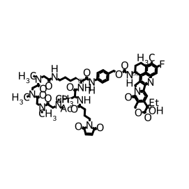 CC[C@@]1(O)C(=O)OCc2c1cc1n(c2=O)Cc2c-1nc1cc(F)c(C)c3c1c2[C@@H](NC(=O)OCc1ccc(NC(=O)[C@H](CCCCNC(=O)CN(C)C(=O)CN(C)C(=O)CN(C)C(=O)CN(C)C(C)=O)NC(=O)C(NC(=O)CCCN2C(=O)C=CC2=O)C(C)C)cc1)CC3